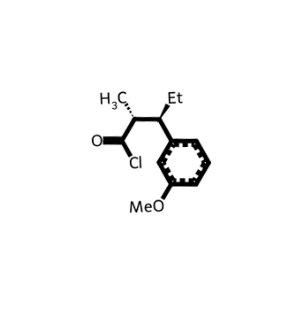 CC[C@@H](c1cccc(OC)c1)[C@@H](C)C(=O)Cl